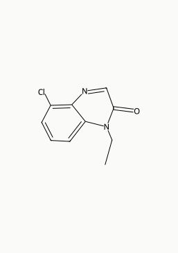 CCn1c(=O)cnc2c(Cl)cccc21